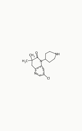 CC1(C)Cc2ncc(Cl)cc2N(C2CCNCC2)C1=O